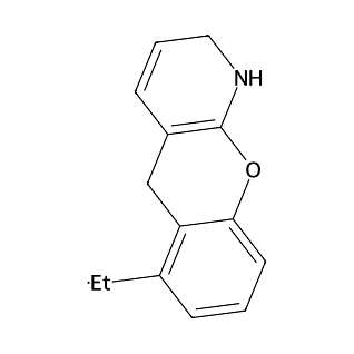 C[CH]c1cccc2c1CC1=C(NCC=C1)O2